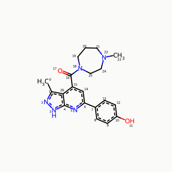 Cc1n[nH]c2nc(-c3ccc(O)cc3)cc(C(=O)N3CCCN(C)CC3)c12